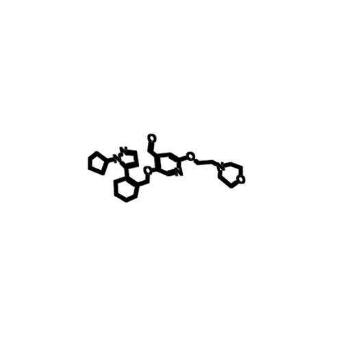 O=Cc1cc(OCCN2CCOCC2)ncc1OCC1=C(c2ccnn2C2CCCC2)CCCC1